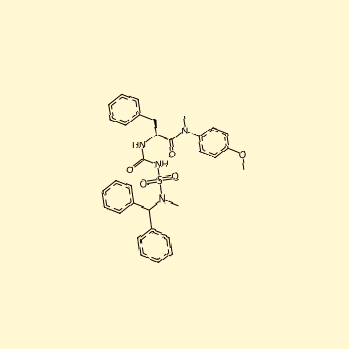 COc1ccc(N(C)C(=O)[C@H](Cc2ccccc2)NC(=O)NS(=O)(=O)N(C)C(c2ccccc2)c2ccccc2)cc1